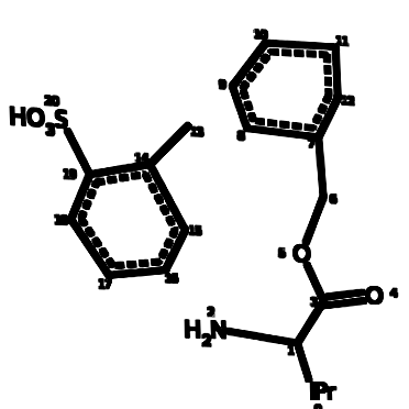 CC(C)C(N)C(=O)OCc1ccccc1.Cc1ccccc1S(=O)(=O)O